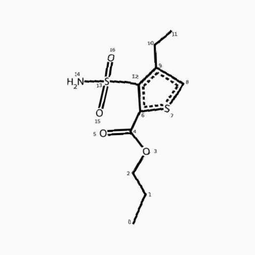 CCCOC(=O)c1scc(CC)c1S(N)(=O)=O